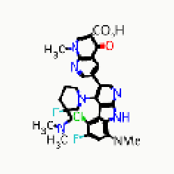 CNc1cc(F)c(Cl)c2c1[nH]c1ncc(-c3cnc4c(c3)c(=O)c(C(=O)O)cn4C)c(N3CCCC(F)(CN(C)C)C3)c12